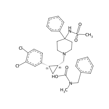 CN(Cc1ccccc1)C(=O)O.CS(=O)(=O)NC1(c2ccccc2)CCN(C[C@@H]2C[C@@H]2c2ccc(Cl)c(Cl)c2)CC1